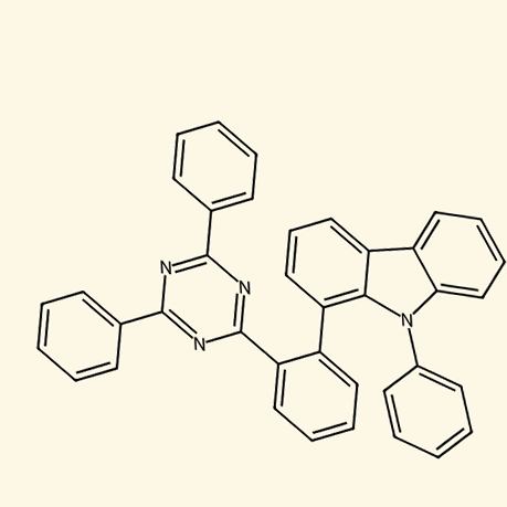 c1ccc(-c2nc(-c3ccccc3)nc(-c3ccccc3-c3cccc4c5ccccc5n(-c5ccccc5)c34)n2)cc1